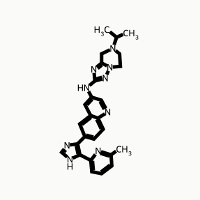 Cc1cccc(-c2[nH]cnc2-c2ccc3ncc(Nc4nc5n(n4)CCN(C(C)C)C5)cc3c2)n1